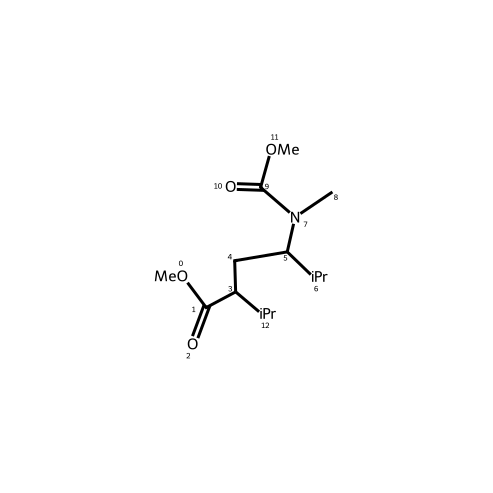 COC(=O)C(CC(C(C)C)N(C)C(=O)OC)C(C)C